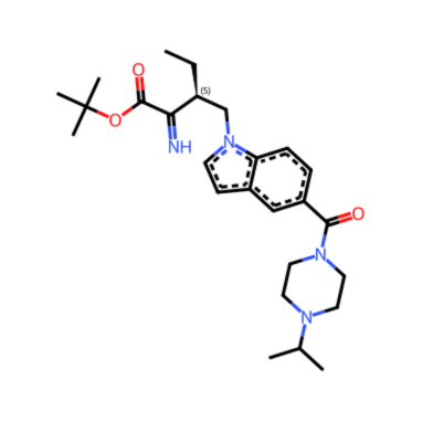 CC[C@@H](Cn1ccc2cc(C(=O)N3CCN(C(C)C)CC3)ccc21)C(=N)C(=O)OC(C)(C)C